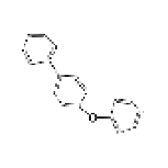 [c]1ccc(Oc2ccc(-c3ccccc3)cc2)cc1